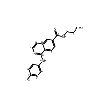 COCCNC(=O)c1ccc2c(Nc3ccc(Cl)nc3)nccc2c1